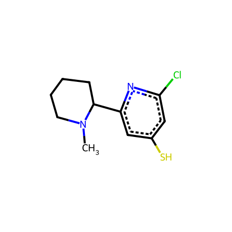 CN1CCCCC1c1cc(S)cc(Cl)n1